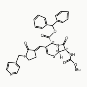 CC(C)(C)OC(=O)N[C@@H]1C(=O)N2[C@@H](C(=O)OC(c3ccccc3)c3ccccc3)C(C=C3CCN(Cc4ccncc4)C3=O)=CS[C@H]12